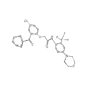 O=C(COc1ccc(Cl)cc1C(=O)c1ccccc1)Nc1ccc(N2CCSCC2)cc1C(F)(F)F